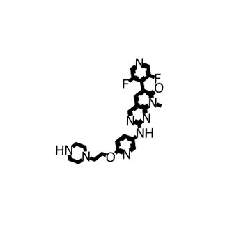 Cn1c(=O)c(-c2c(F)cncc2F)cc2cnc(Nc3ccc(OCCN4CCNCC4)nc3)nc21